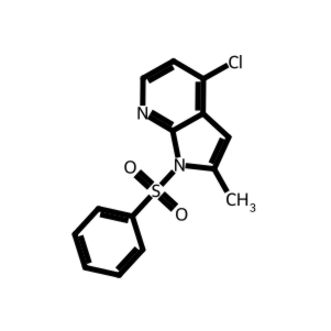 Cc1cc2c(Cl)ccnc2n1S(=O)(=O)c1ccccc1